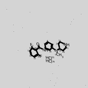 CN(c1cccc(NC(=O)c2c(F)cccc2F)c1)C1CCNCC1.Cl.Cl